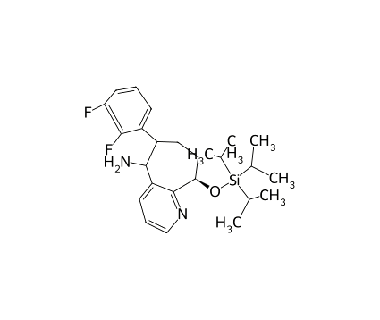 CC(C)[Si](O[C@@H]1CCC(c2cccc(F)c2F)C(N)c2cccnc21)(C(C)C)C(C)C